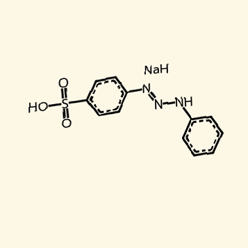 O=S(=O)(O)c1ccc(N=NNc2ccccc2)cc1.[NaH]